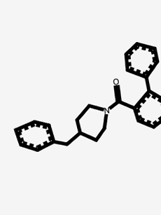 O=C(c1ccccc1-c1ccccc1)N1CCC(Cc2ccccc2)CC1